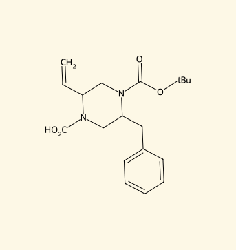 C=CC1CN(C(=O)OC(C)(C)C)C(Cc2ccccc2)CN1C(=O)O